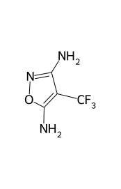 Nc1noc(N)c1C(F)(F)F